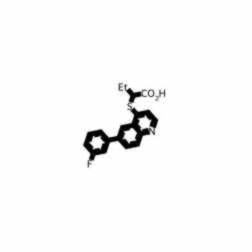 CCC(Sc1ccnc2ccc(-c3cccc(F)c3)cc12)C(=O)O